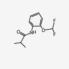 CC(C)C(=O)Nc1ccccc1OC(F)F